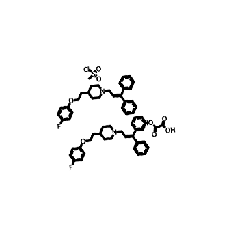 CS(=O)(=O)Cl.Fc1ccc(OCCC2CCN(CC=C(c3ccccc3)c3ccccc3)CC2)cc1.Fc1ccc(OCCC2CCN(CC=C(c3ccccc3)c3ccccc3)CC2)cc1.O=C(O)C(=O)O